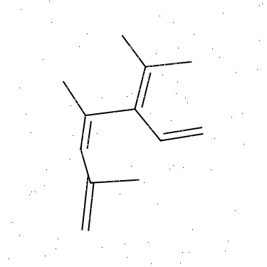 C=CC(=C(C)C)/C(C)=C\C(=C)C